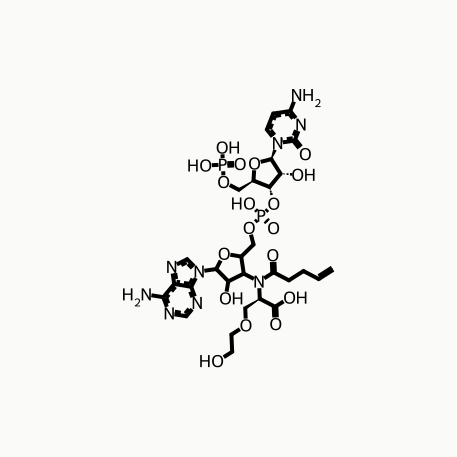 C=CCCC(=O)N(C1C(COP(=O)(O)O[C@H]2[C@@H](O)[C@H](n3ccc(N)nc3=O)O[C@@H]2COP(=O)(O)O)OC(n2cnc3c(N)ncnc32)C1O)[C@H](COCCO)C(=O)O